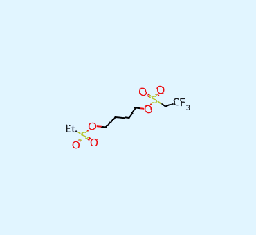 CCS(=O)(=O)OCCCCOS(=O)(=O)CC(F)(F)F